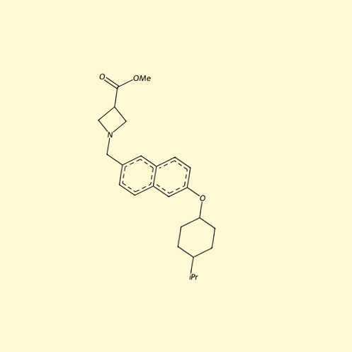 COC(=O)C1CN(Cc2ccc3cc(OC4CCC(C(C)C)CC4)ccc3c2)C1